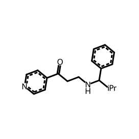 CC(C)C(NCCC(=O)c1ccncc1)c1ccccc1